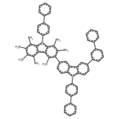 Bc1c(B)c(B)c2c(c1B)c1c(B)c(-c3ccc4c(c3)c3cc(-c5cccc(-c6ccccc6)c5)ccc3n4-c3ccc(-c4ccccc4)cc3)c(B)c(B)c1n2-c1ccc(-c2ccccc2)cc1